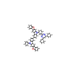 c1ccc(-c2cc(-c3ccccc3)nc(-c3cccc(-n4c5ccc(-c6ccc7c(c6)c6cc8c(cc6n7-c6ccccc6)oc6ccccc68)cc5c5cc6c(cc54)oc4ccccc46)c3)n2)cc1